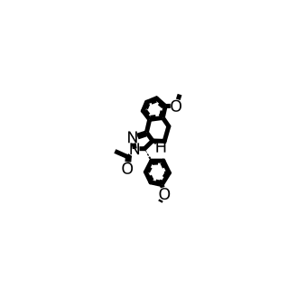 COc1ccc([C@H]2[C@H]3CCc4c(OC)cccc4C3=NN2C(C)=O)cc1